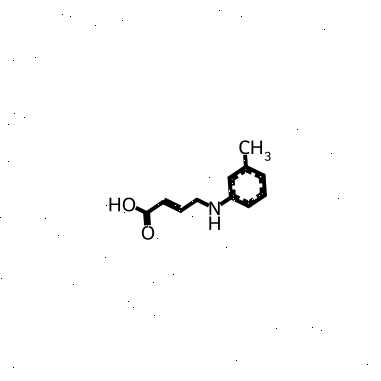 Cc1cccc(NCC=CC(=O)O)c1